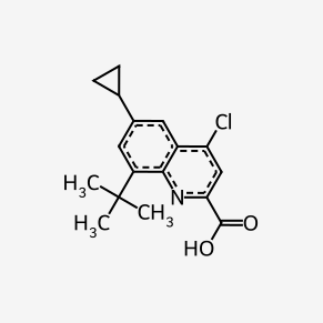 CC(C)(C)c1cc(C2CC2)cc2c(Cl)cc(C(=O)O)nc12